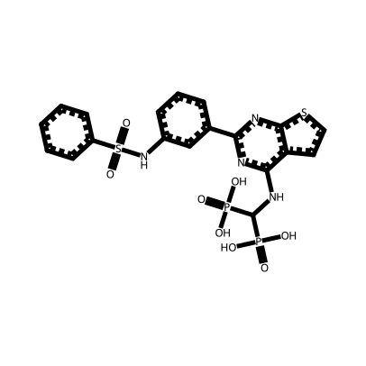 O=P(O)(O)C(Nc1nc(-c2cccc(NS(=O)(=O)c3ccccc3)c2)nc2sccc12)P(=O)(O)O